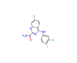 NC(=O)c1nc(Nc2ccc(F)c(Cl)c2)c2c[c]c(Cl)cc2n1